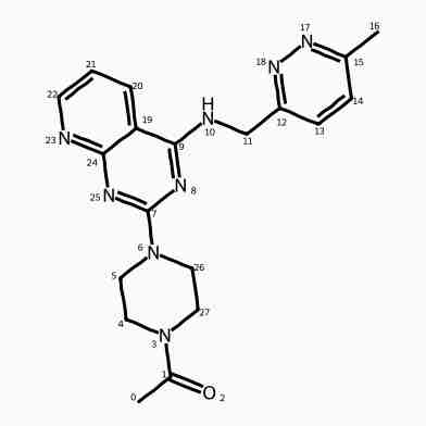 CC(=O)N1CCN(c2nc(NCc3ccc(C)nn3)c3cccnc3n2)CC1